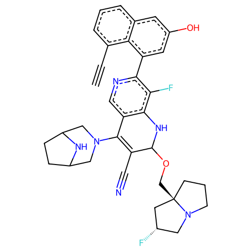 C#Cc1cccc2cc(O)cc(-c3ncc4c(c3F)NC(OC[C@@]35CCCN3C[C@H](F)C5)C(C#N)=C4N3CC4CCC(C3)N4)c12